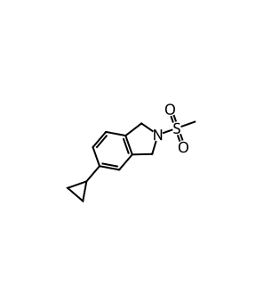 CS(=O)(=O)N1Cc2ccc(C3CC3)cc2C1